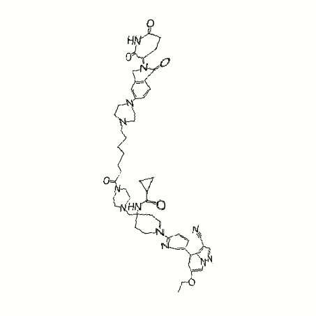 CCOc1cc(-c2ccc(N3CCC(CN4CCN(C(=O)CCCCCCN5CCN(c6ccc7c(c6)CN(C6CCC(=O)NC6=O)C7=O)CC5)CC4)(NC(=O)C4CC4)CC3)nc2)c2c(C#N)cnn2c1